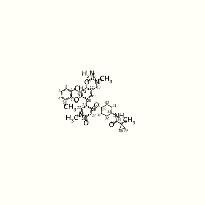 Cc1cccc(C)c1Oc1ccc(CN(C)C(N)=O)cc1-c1cn(C)c(=O)cc1O[C@H]1CC[C@H](NC(=O)C2(C)CC2)CC1